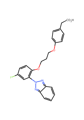 O=C(O)Cc1ccc(OCCCOc2ccc(F)cc2-n2nc3ccccc3n2)cc1